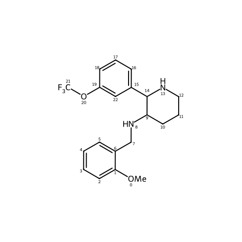 COc1ccccc1CNC1CCCNC1c1cccc(OC(F)(F)F)c1